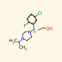 CC(C)N1CCN([C@@H](CCO)c2cc(Cl)ccc2F)CC1